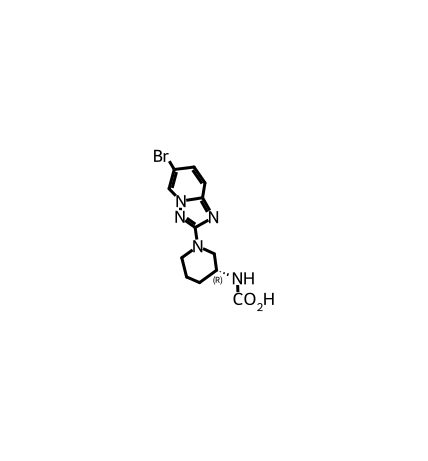 O=C(O)N[C@@H]1CCCN(c2nc3ccc(Br)cn3n2)C1